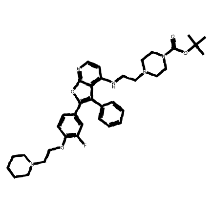 CC(C)(C)OC(=O)N1CCN(CCNc2ccnc3oc(-c4ccc(OCCN5CCCCC5)c(F)c4)c(-c4ccccc4)c23)CC1